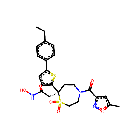 CCc1ccc(-c2ccc([C@@]3(CC(=O)NO)CCN(C(=O)c4cc(C)on4)CCS3(=O)=O)s2)cc1